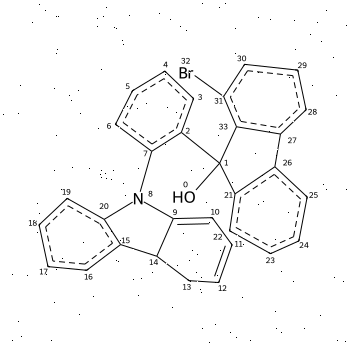 OC1(c2ccccc2N2C3=CC=CCC3c3ccccc32)c2ccccc2-c2cccc(Br)c21